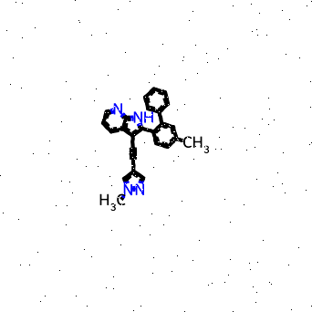 Cc1ccc(-c2[nH]c3ncccc3c2C#Cc2cnn(C)c2)c(-c2ccccc2)c1